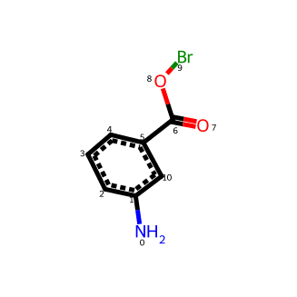 Nc1cccc(C(=O)OBr)c1